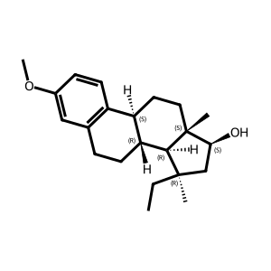 CC[C@]1(C)C[C@H](O)[C@@]2(C)CC[C@@H]3c4ccc(OC)cc4CC[C@H]3[C@H]12